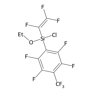 CCO[Si](Cl)(C(F)=C(F)F)c1c(F)c(F)c(C(F)(F)F)c(F)c1F